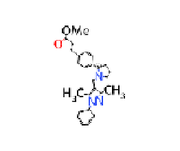 COC(=O)C=Cc1ccc([C@@H]2CCCN2Cc2c(C)nn(-c3ccccc3)c2C)cc1